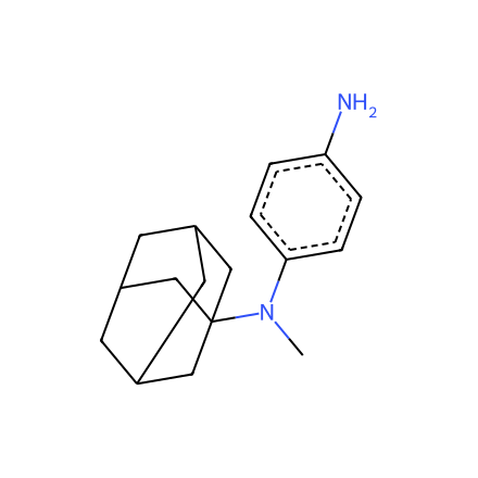 CN(c1ccc(N)cc1)C12CC3CC(CC(C3)C1)C2